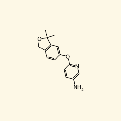 CC1(C)OCc2ccc(Oc3ccc(N)cn3)cc21